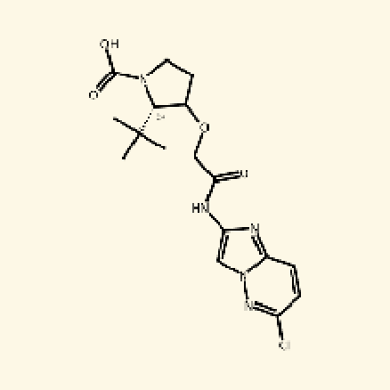 CC(C)(C)[C@H]1C(OCC(=O)Nc2cn3nc(Cl)ccc3n2)CCN1C(=O)O